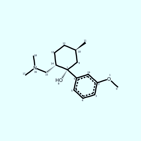 COc1cccc([C@]2(O)C[C@H](C)CC[C@H]2CN(C)C)c1